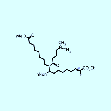 CCCCCCCCCC(CCCCC/C=C(\F)C(=O)OCC)N(CCCCCCCC(=O)OC)C(=O)CCCN(C)C